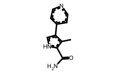 Cc1c(-c2ccncc2)c[nH]c1C(N)=O